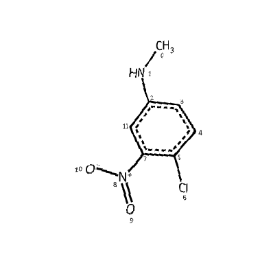 CNc1ccc(Cl)c([N+](=O)[O-])c1